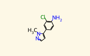 Cn1nccc1-c1ccc(N)c(Cl)c1